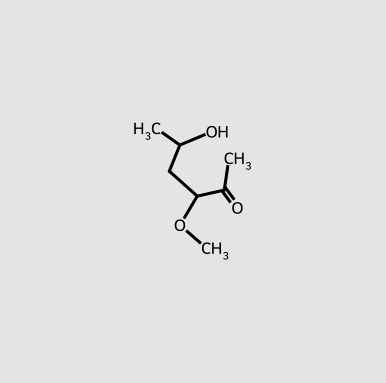 COC(CC(C)O)C(C)=O